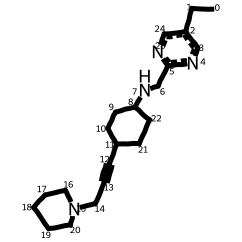 CCc1cnc(CNC2CCC(C#CCN3CCCCC3)CC2)nc1